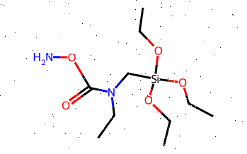 CCO[Si](CN(CC)C(=O)ON)(OCC)OCC